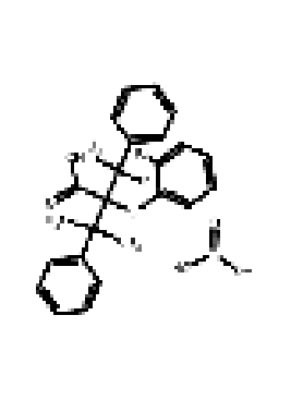 CC(C)(c1ccccc1)C(Oc1ccccc1O)(C(=O)O)C(C)(C)c1ccccc1.[O]=[Ti]([OH])[OH]